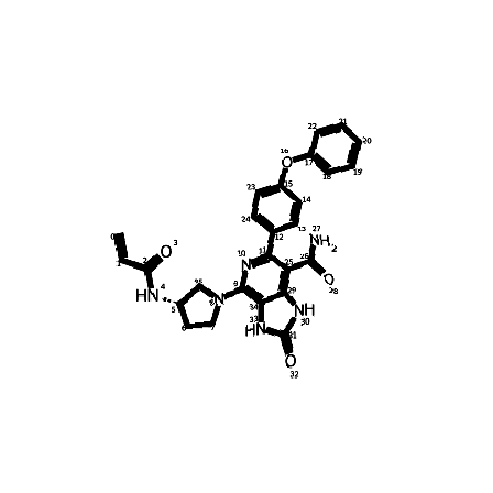 C=CC(=O)N[C@H]1CCN(c2nc(-c3ccc(Oc4ccccc4)cc3)c(C(N)=O)c3[nH]c(=O)[nH]c23)C1